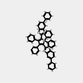 c1ccc(C2=C(c3nc4cc(-c5ccccc5)ccc4o3)[Si](c3ccccc3)(c3ccccc3)C(c3nc4cc(-c5ccccc5)ccc4o3)=C2c2ccccc2)cc1